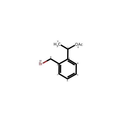 CC(=O)OC(C)c1ccccc1CBr